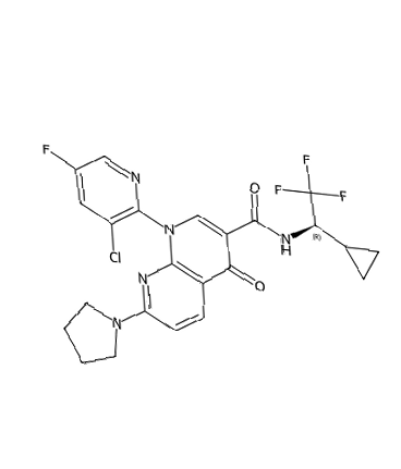 O=C(N[C@H](C1CC1)C(F)(F)F)c1cn(-c2ncc(F)cc2Cl)c2nc(N3CCCC3)ccc2c1=O